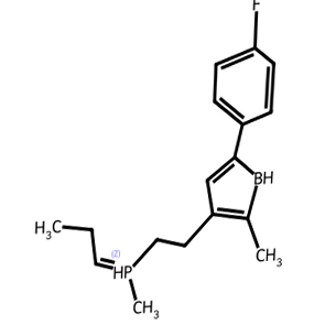 CC/C=[PH](/C)CCC1=C(C)BC(c2ccc(F)cc2)=C1